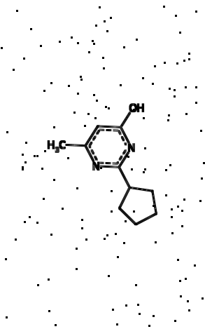 Cc1cc(O)nc(C2CCCC2)n1